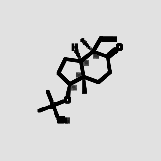 C=C[C@@]1(C)C(=O)CC[C@]2(C)[C@@H](O[Si](C)(C)C(C)(C)C)CC[C@H]21